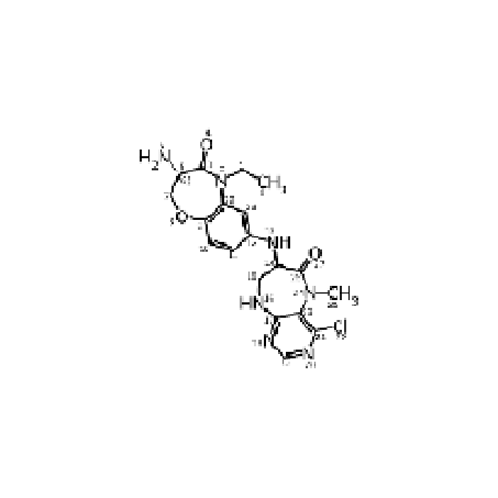 CCN1C(=O)[C@@H](N)COc2ccc(NC3CNc4ncnc(Cl)c4N(C)C3=O)cc21